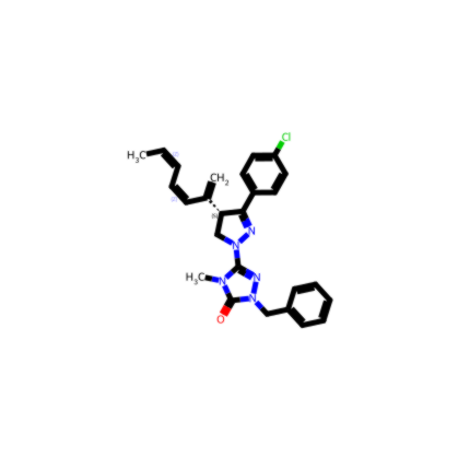 C=C(/C=C\C=C/C)[C@H]1CN(c2nn(Cc3ccccc3)c(=O)n2C)N=C1c1ccc(Cl)cc1